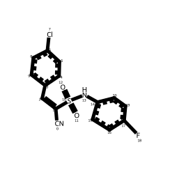 N#C/C(=C/c1ccc(Cl)cc1)S(=O)(=O)Nc1ccc(F)cc1